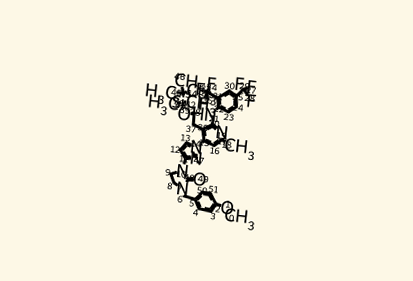 COc1ccc(CN2CCN(c3ccn(-c4cc(C)nc(Nc5ccc(C(F)(F)F)cc5C(F)(F)F)c4CCO[Si](C)(C)C(C)(C)C)n3)C2=O)cc1